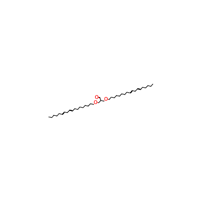 CCCCCC=CCC=CCCCCCCCCOCC(C=O)COCCCCCCCCC=CCC=CCCCCC